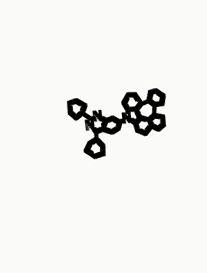 c1ccc(-c2nc(-c3ccccc3)c3ccc(-n4c5cccc6c5c5c7c(cccc7ccc54)-c4ccccc4-6)cc3n2)cc1